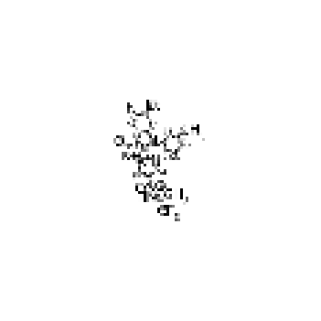 CCc1cc2c(cc1F)c(C(N)=O)c(-c1ccc(S(=O)(=O)NC(C)C(F)(F)F)cn1)n2-c1cccc(C)c1